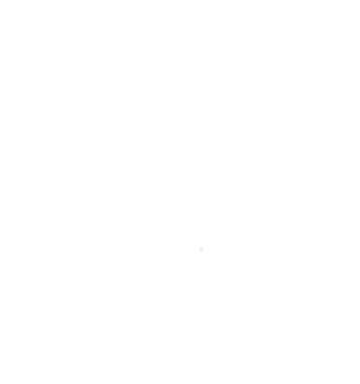 CCOc1ccc(Br)c([C](C)C)c1